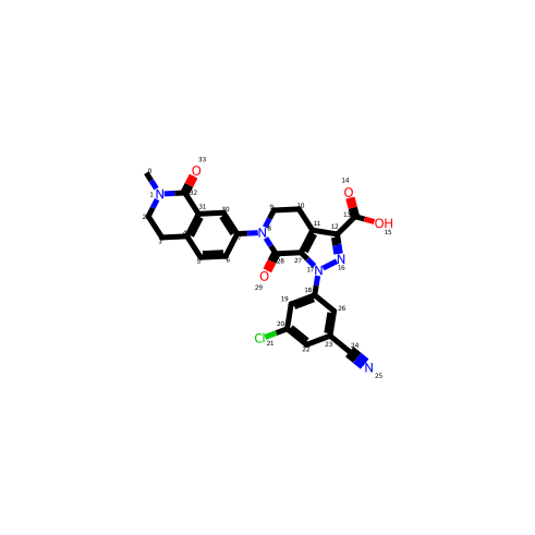 CN1CCc2ccc(N3CCc4c(C(=O)O)nn(-c5cc(Cl)cc(C#N)c5)c4C3=O)cc2C1=O